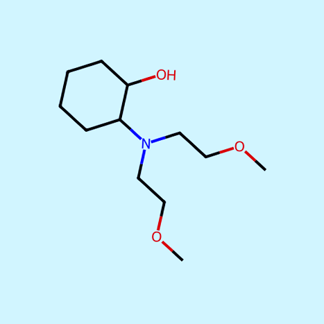 COCCN(CCOC)C1CCCCC1O